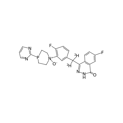 [2H]C([2H])(c1ccc(F)c([N+]2([O-])CCP(c3ncccn3)CC2)c1)c1n[nH]c(=O)c2cc(F)ccc12